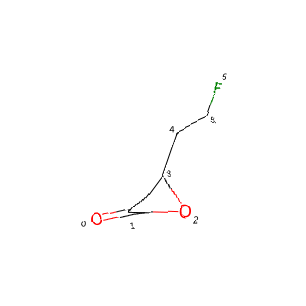 O=C1OC1CCF